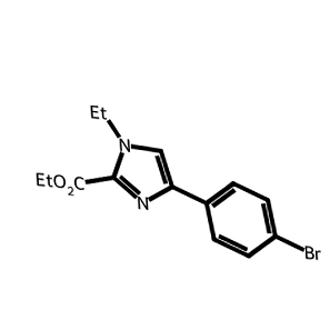 CCOC(=O)c1nc(-c2ccc(Br)cc2)cn1CC